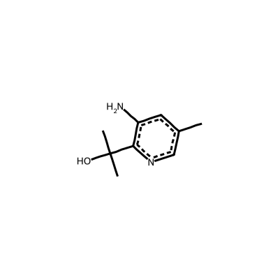 Cc1cnc(C(C)(C)O)c(N)c1